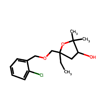 CCC1(COCc2ccccc2Cl)CC(O)C(C)(C)O1